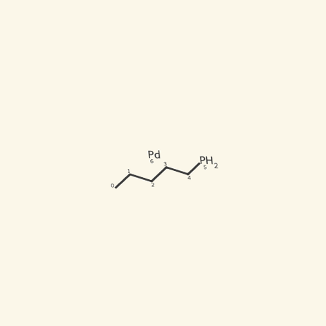 CCCCCP.[Pd]